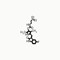 CCN(CC)CCNC(=O)Oc1c(C)[nH]c(C=C2C(=O)Nc3ccc(F)cc32)c1C